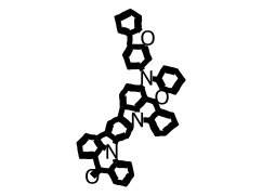 O=c1c2ccccc2n2c3cc4c(cc3c3cccc1c32)c1ccc(N(c2ccccc2)c2ccc3c(c2)oc2ccccc23)c2c(=O)c3ccccc3n4c21